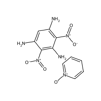 Nc1cc(N)c([N+](=O)[O-])c(N)c1[N+](=O)[O-].[O-][n+]1ccccc1